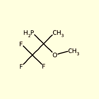 COC(C)(P)C(F)(F)F